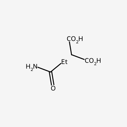 CCC(N)=O.O=C(O)CC(=O)O